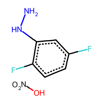 NNc1cc(F)ccc1F.O=[N+]([O-])O